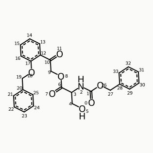 O=C(NC(CO)C(=O)OCC(=O)c1ccccc1OCc1ccccc1)OCc1ccccc1